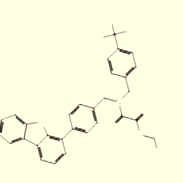 CCOC(=O)C(=O)N(Cc1ccc(-c2cccc3c2oc2ccccc23)cc1)Cc1ccc(C(F)(F)F)cc1